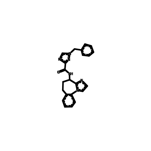 O=C(NC1CCc2ccccc2-n2ccnc21)c1ncn(Cc2ccccc2)n1